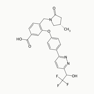 C[C@H]1CC(=O)N(Cc2ccc(C(=O)O)cc2Oc2ccc(-c3ccc(C(O)C(F)(F)F)nn3)cc2)C1